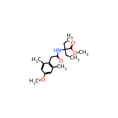 CCC(CC)(NC(=O)Cc1c(C)cc(OC)cc1C)C(=O)OC